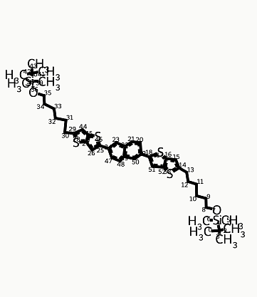 CC(C)(C)[Si](C)(C)OCCCCCCc1cc2sc(-c3ccc4cc(-c5cc6sc(CCCCCCO[Si](C)(C)C(C)(C)C)cc6s5)ccc4c3)cc2s1